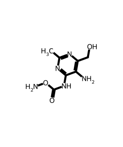 Cc1nc(CO)c(N)c(NC(=O)ON)n1